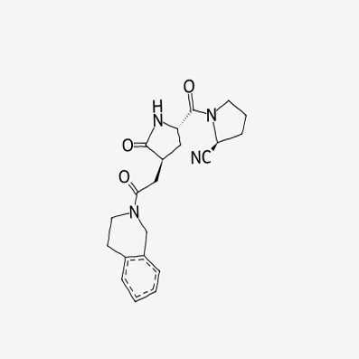 N#C[C@@H]1CCCN1C(=O)[C@@H]1C[C@@H](CC(=O)N2CCc3ccccc3C2)C(=O)N1